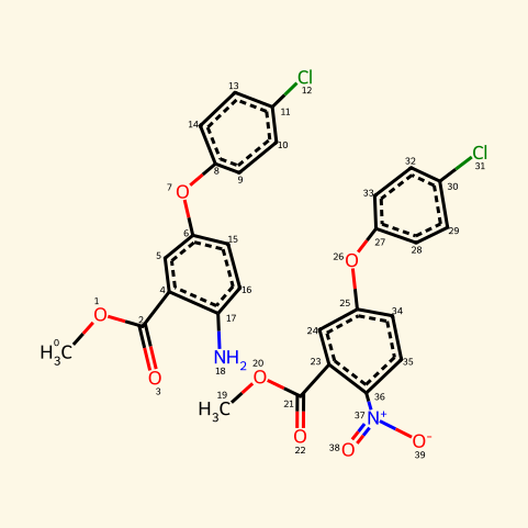 COC(=O)c1cc(Oc2ccc(Cl)cc2)ccc1N.COC(=O)c1cc(Oc2ccc(Cl)cc2)ccc1[N+](=O)[O-]